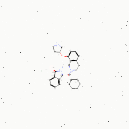 Cl.O=C(O)[C@H]1CCCC[C@H]1C(=O)N1CCc2cccc(OC3CCNC3)c2[C@H]1CN1Cc2ccccc2C1=O